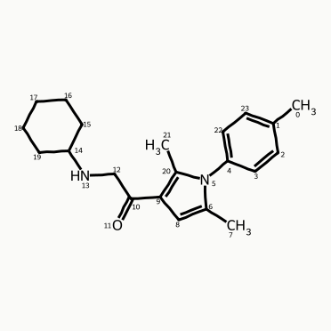 Cc1ccc(-n2c(C)cc(C(=O)CNC3CCCCC3)c2C)cc1